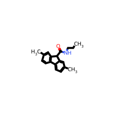 CCCNC(=O)C1c2cc(C)ccc2-c2ccc(C)cc21